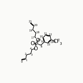 C=CCCCOP(=O)(Cc1cccc(C(F)(F)F)c1)OCCCC=C